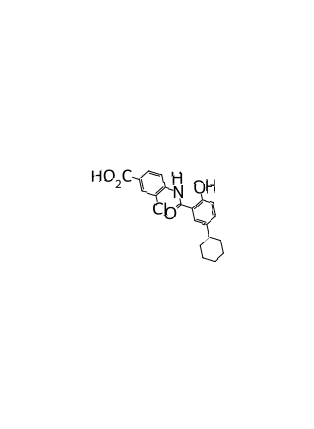 O=C(O)c1ccc(NC(=O)c2cc(C3CCCCC3)ccc2O)c(Cl)c1